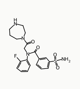 NS(=O)(=O)c1cccc(C(=O)N(CC(=O)N2CCCNCC2)c2ccccc2F)c1